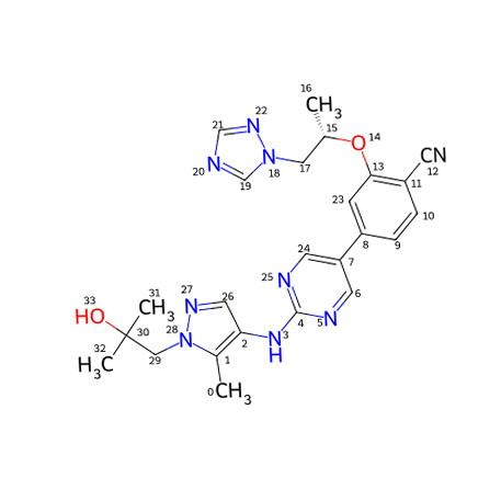 Cc1c(Nc2ncc(-c3ccc(C#N)c(O[C@@H](C)Cn4cncn4)c3)cn2)cnn1CC(C)(C)O